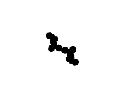 CC1(C)c2cc3c(cc2-n2c1cc1ccccc12)c1ccccc1n3-c1ccc(-c2ccc(-n3c4ccccc4c4cc5c(cc43)C(C)(C)c3cc4ccccc4n3-5)cc2)cc1